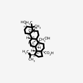 C=C(C)[C@@H]1CC[C@]2(C(=O)O)CC[C@]3(C)[C@H](CC[C@@H]4[C@@]5(C)CC[C@H](O)C(C)(C)[C@@H]5CC[C@]43C)[C@@H]12.Cl